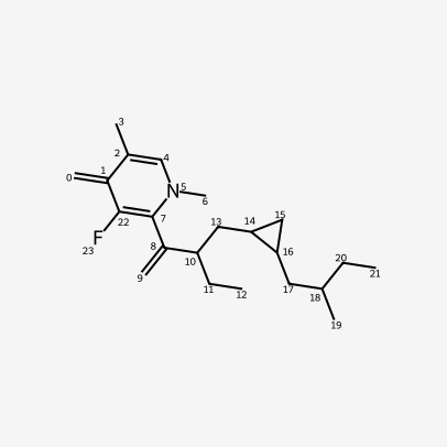 C=C1C(C)=CN(C)C(C(=C)C(CC)CC2CC2CC(C)CC)=C1F